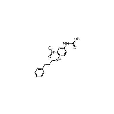 O=C(O)Nc1ccc(NCCCc2ccccc2)c([N+](=O)[O-])c1